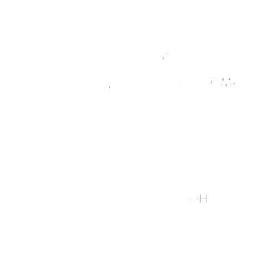 COC(=O)c1cc(O)ccc1Oc1ccccc1